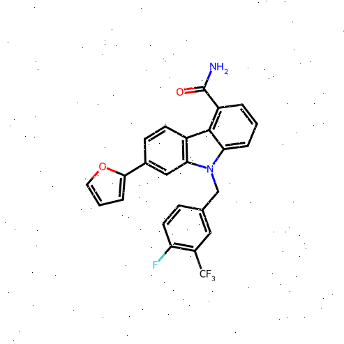 NC(=O)c1cccc2c1c1[c]cc(-c3ccco3)cc1n2Cc1ccc(F)c(C(F)(F)F)c1